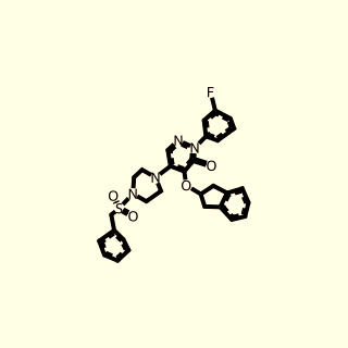 O=c1c(OC2Cc3ccccc3C2)c(N2CCN(S(=O)(=O)Cc3ccccc3)CC2)cnn1-c1cccc(F)c1